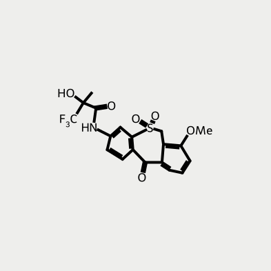 COc1cccc2c1CS(=O)(=O)c1cc(NC(=O)C(C)(O)C(F)(F)F)ccc1C2=O